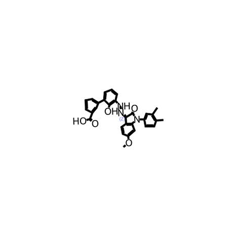 COc1ccc2c(c1)N(c1ccc(C)c(C)c1)C(=O)/C2=N\Nc1cccc(-c2cccc(C(=O)O)c2)c1O